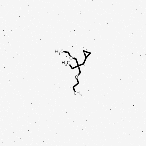 CCCOCC(CC)(COCC)CC1CC1